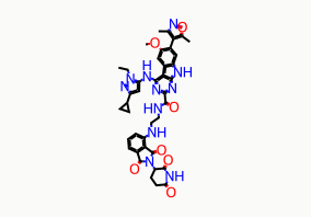 CCn1nc(C2CC2)cc1Nc1nc(C(=O)NCCNc2cccc3c2C(=O)N(C2CCC(=O)NC2=O)C3=O)nc2[nH]c3cc(-c4c(C)noc4C)c(OC)cc3c12